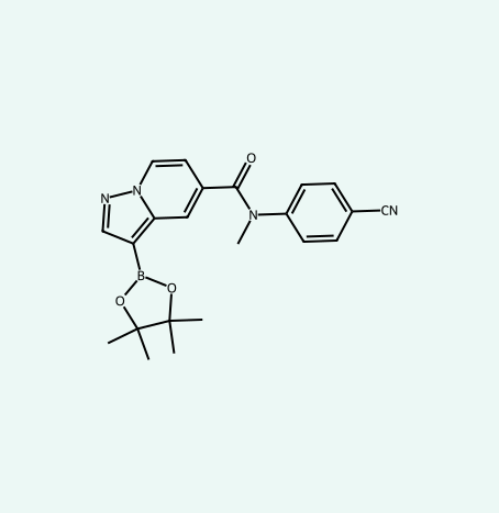 CN(C(=O)c1ccn2ncc(B3OC(C)(C)C(C)(C)O3)c2c1)c1ccc(C#N)cc1